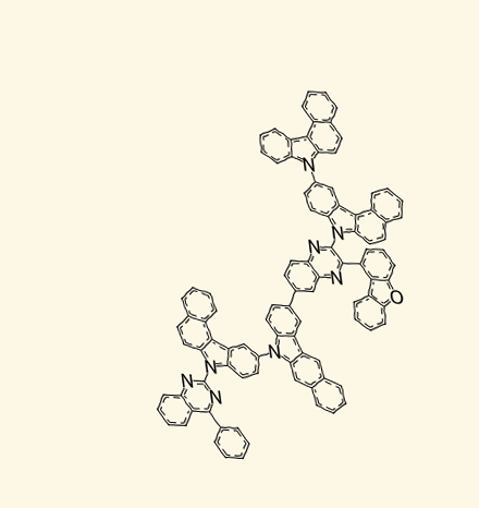 c1ccc(-c2nc(-n3c4ccc(-n5c6ccc(-c7ccc8nc(-n9c%10ccc(-n%11c%12ccccc%12c%12c%13ccccc%13ccc%12%11)cc%10c%10c%11ccccc%11ccc%109)c(-c9cccc%10oc%11ccccc%11c9%10)nc8c7)cc6c6cc7ccccc7cc65)cc4c4c5ccccc5ccc43)nc3ccccc23)cc1